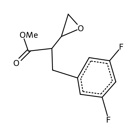 COC(=O)C(Cc1cc(F)cc(F)c1)C1CO1